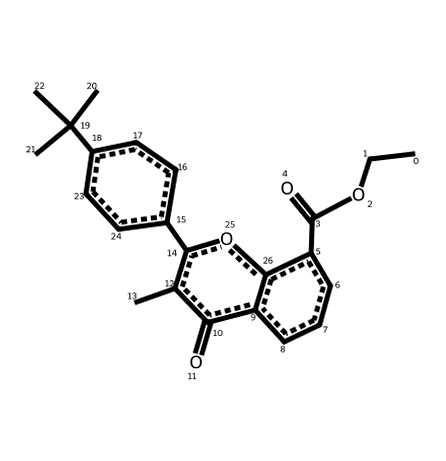 CCOC(=O)c1cccc2c(=O)c(C)c(-c3ccc(C(C)(C)C)cc3)oc12